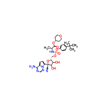 C[C@H](NP(=O)(OC[C@H]1OC(C#N)(c2ccc3c(N)ncnn23)[C@H](O)[C@@H]1O)Oc1ccc(C(C)(C)C)cc1)C(=O)OC1CCOCC1